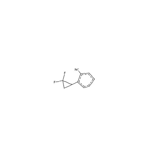 N#Cc1ccccc1C1CC1(F)F